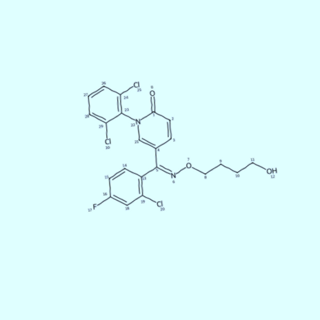 O=c1ccc(/C(=N\OCCCCO)c2ccc(F)cc2Cl)cn1-c1c(Cl)cccc1Cl